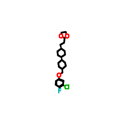 Fc1ccc(OCC2CCC([C@H]3CC[C@H](CCC4OCCO4)CC3)CC2)cc1Cl